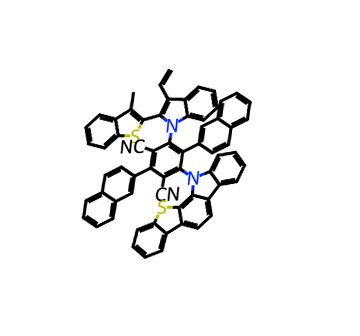 C=Cc1c(-c2sc3ccccc3c2C)n(-c2c(C#N)c(-c3ccc4ccccc4c3)c(C#N)c(-n3c4ccccc4c4ccc5c6ccccc6sc5c43)c2-c2ccc3ccccc3c2)c2ccccc12